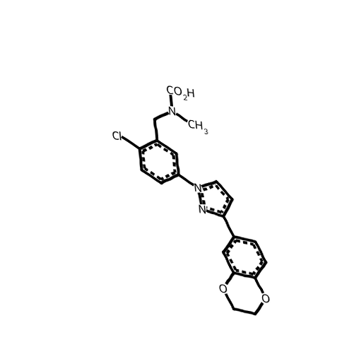 CN(Cc1cc(-n2ccc(-c3ccc4c(c3)OCCO4)n2)ccc1Cl)C(=O)O